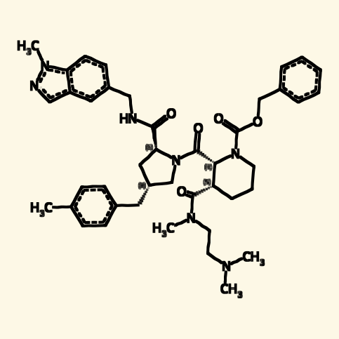 Cc1ccc(C[C@@H]2C[C@@H](C(=O)NCc3ccc4c(cnn4C)c3)N(C(=O)[C@H]3[C@@H](C(=O)N(C)CCN(C)C)CCCN3C(=O)OCc3ccccc3)C2)cc1